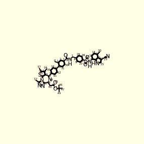 Cc1cc(C(=O)NCc2ccc(S(=O)(=O)Nc3ccc(C)c4c(C#N)c[nH]c34)cc2)ccc1-c1ccc(C2=NC(CC(=O)OC(C)(C)C)c3nnc(C)n3-c3sc(C)c(C)c32)cc1